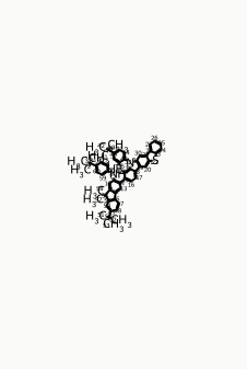 CC(C)(C)c1ccc(Nc2cc3c(cc2-c2ccc4c5cc6sc7ccccc7c6cc5n5c4c2Bc2cc(C(C)(C)C)ccc2-5)-c2ccc(C(C)(C)C)cc2C3(C)C)cc1